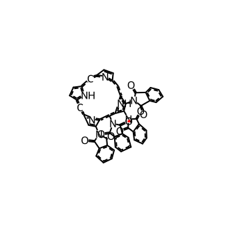 O=C1c2ccccc2C(=O)N1C1=Cc2cc3ccc(cc4nc(cc5[nH]c(c(N6C(=O)c7ccccc7C6=O)c1n2)c(N1C(=O)c2ccccc2C1=O)c5N1C(=O)c2ccccc2C1=O)C=C4)[nH]3